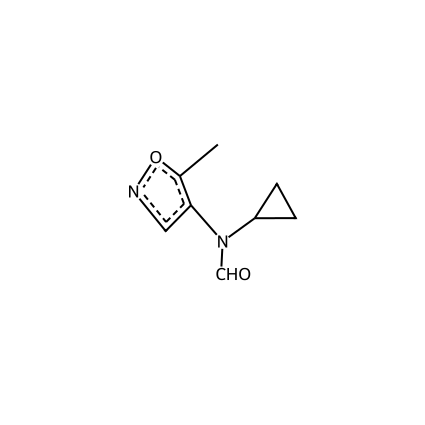 Cc1oncc1N(C=O)C1CC1